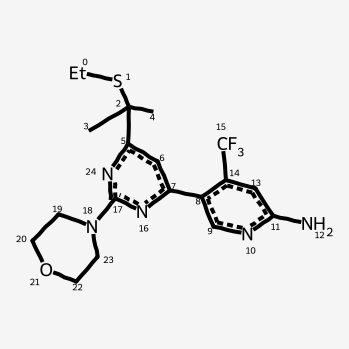 CCSC(C)(C)c1cc(-c2cnc(N)cc2C(F)(F)F)nc(N2CCOCC2)n1